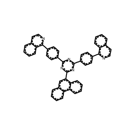 c1ccc2c(-c3ccc(-c4nc(-c5ccc(-c6nccc7ccccc67)cc5)nc(-c5cc6ccccc6c6ccccc56)n4)cc3)nccc2c1